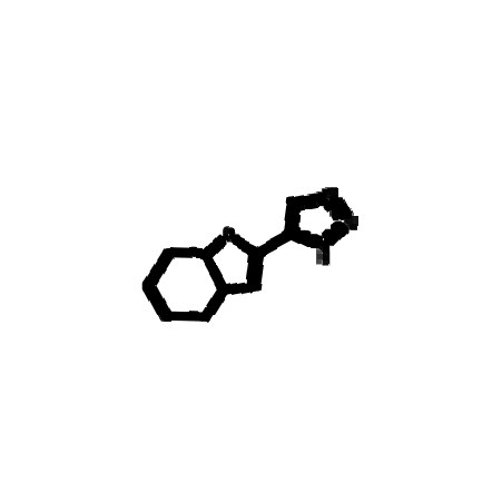 C1=C(c2cnn[nH]2)OC2CCCCC12